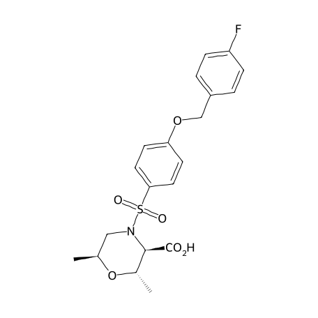 C[C@@H]1O[C@@H](C)CN(S(=O)(=O)c2ccc(OCc3ccc(F)cc3)cc2)[C@H]1C(=O)O